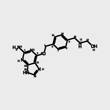 Nc1nc(OCc2ccc(CNCO)cc2)c2nc[nH]c2n1